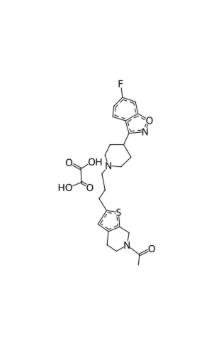 CC(=O)N1CCc2cc(CCCN3CCC(c4noc5cc(F)ccc45)CC3)sc2C1.O=C(O)C(=O)O